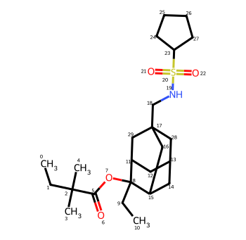 CCC(C)(C)C(=O)OC1(CC)C2CC3CC1CC(CNS(=O)(=O)C1CCCC1)(C3)C2